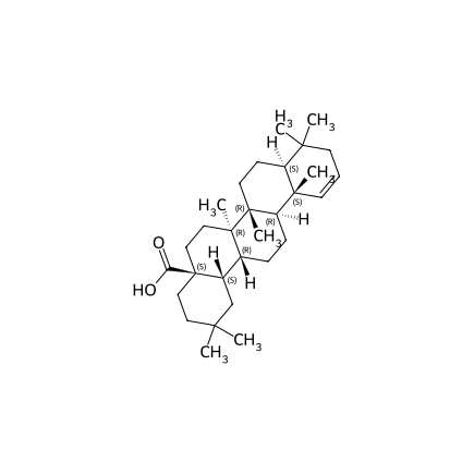 CC1(C)CC[C@]2(C(=O)O)CC[C@]3(C)[C@H](CC[C@@H]4[C@@]5(C)C=CCC(C)(C)[C@@H]5CC[C@]43C)[C@@H]2C1